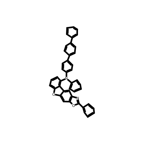 c1ccc(-c2ccc(-c3ccc(N(c4ccccc4)c4cccc5oc6cc7oc(-c8ccccc8)nc7cc6c45)cc3)cc2)cc1